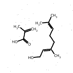 C=C(C)C(=O)O.CC(C)=CCCC(C)=CCO